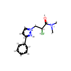 CN(C)C(=O)C(Br)Cn1ccc(-c2ccccc2)n1